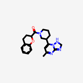 CC1=NC2=NCNN2C(C2CCCN(C(=O)C3CCc4ccccc4O3)C2)=C1